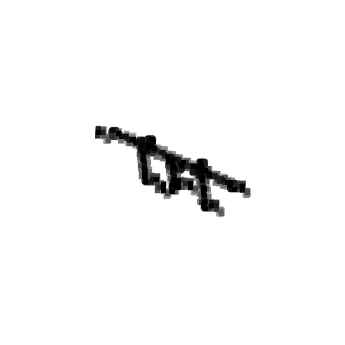 CCCCCCCSC(SCCCCCCC)C(=O)OCCCCCC(CCCCCOC(=O)C(SCCCCCCC)SCCCCCCC)OC(=O)CCCN(C)C